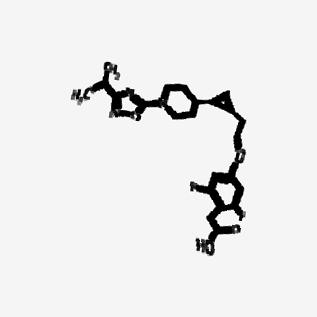 CC(C)c1noc(N2CCC([C@H]3C[C@H]3CCOc3cc(F)c(CC(=O)O)c(F)c3)CC2)n1